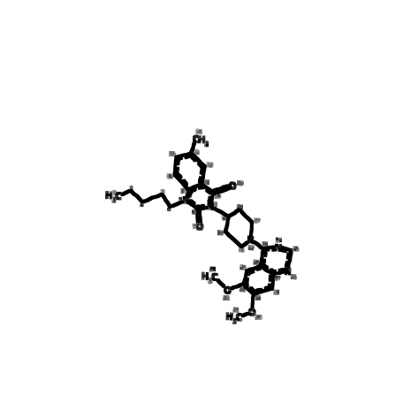 CCCCCn1c(=O)n(C2CCN(c3ncnc4cc(OC)c(OC)cc34)CC2)c(=O)c2cc(C)ccc21